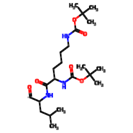 CC(C)CC([C]=O)NC(=O)C(CCCCNC(=O)OC(C)(C)C)NC(=O)OC(C)(C)C